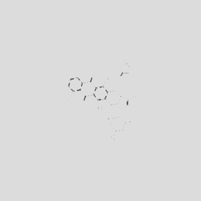 COc1cccc2c1C(=O)c1c(O)c3c(c(O)c1C2=O)C[C@@](O)(C(=O)CO)C[C@@H]3O[C@H]1C[C@H](N)[C@H](O)[C@H](C)O1.Cl.N.O=C(O)O